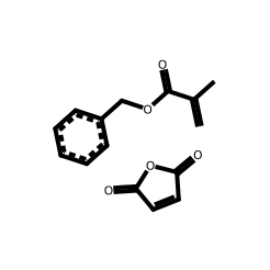 C=C(C)C(=O)OCc1ccccc1.O=C1C=CC(=O)O1